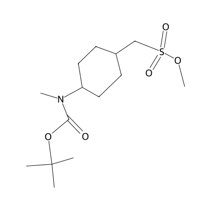 COS(=O)(=O)CC1CCC(N(C)C(=O)OC(C)(C)C)CC1